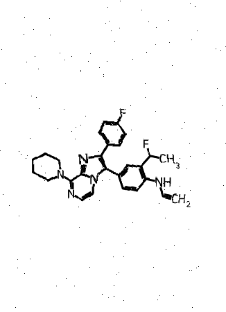 C=CNc1ccc(-c2c(-c3ccc(F)cc3)nc3c(N4CCCCC4)nccn23)cc1C(C)F